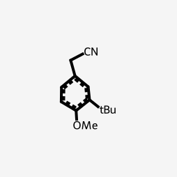 COc1ccc(CC#N)cc1C(C)(C)C